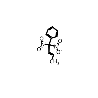 C/C=C/C(c1ccccc1)([N+](=O)[O-])[N+](=O)[O-]